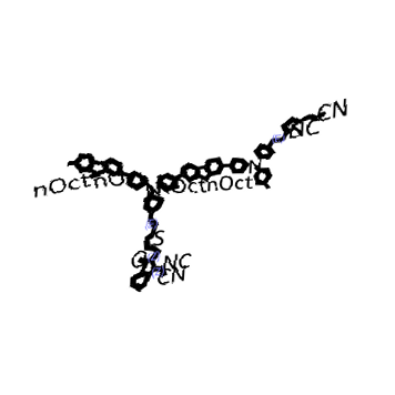 [C-]#[N+]/C(C#N)=C1\C(=C\c2ccc(/C=C/c3ccc(N(c4ccc(-c5ccc6c(c5)C(CCCCCCCC)(CCCCCCCC)c5cc(C)ccc5-6)cc4)c4ccc(-c5ccc6c(c5)C(CCCCCCCC)(CCCCCCCC)c5cc(-c7ccc(N(c8ccc(C)cc8)c8ccc(/C=C/c9ccc(C=C(C#N)C#N)s9)cc8)cc7)ccc5-6)cc4)cc3)s2)C(=O)c2ccccc21